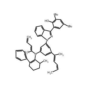 C=C/C=C(\N)N(C1=C(c2ccccc2)CCCC1C)c1cc(/C(C)=C/C=C\C)cc(-n2nc(-c3cc(C(C)(C)C)cc(C(C)(C)C)c3O)c3ccccc32)c1